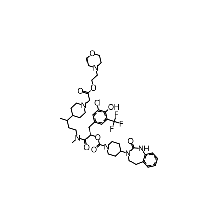 CC(CCN(C)C(=O)[C@@H](Cc1cc(Cl)c(O)c(C(F)(F)F)c1)OC(=O)N1CCC(N2CCc3ccccc3NC2=O)CC1)C1CCN(CC(=O)OCCN2CCOCC2)CC1